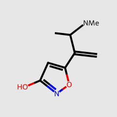 C=C(c1cc(O)no1)C(C)NC